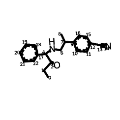 CCC(=O)C(NCC(C)c1ccc(C#N)cc1)c1ccccc1